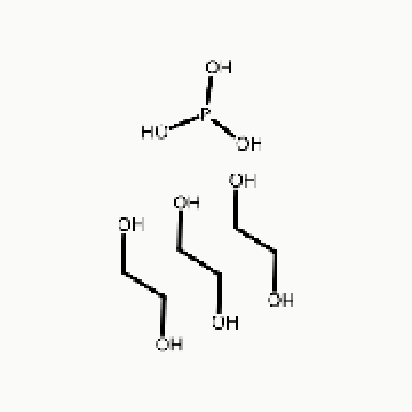 OCCO.OCCO.OCCO.OP(O)O